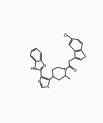 CC1CN(c2scnc2-c2nc3ccccc3[nH]2)CCN1C(=O)Cc1csc2ccc(Cl)cc12